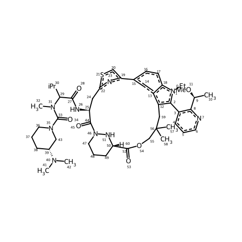 CCn1c(-c2cccnc2[C@H](C)OC)c2c3cc(ccc31)-c1csc(n1)C[C@H](NC(=O)C(C(C)C)N(C)C(=O)N1CCC[C@@H](N(C)C)C1)C(=O)N1CCC[C@H](N1)C(=O)OCC(C)(C)C2